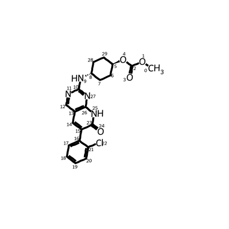 COC(=O)O[C@H]1CC[C@H](Nc2ncc3cc(-c4ccccc4Cl)c(=O)[nH]c3n2)CC1